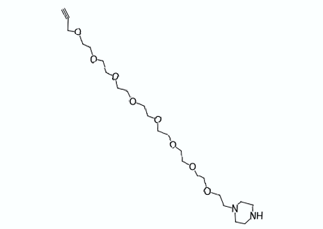 C#CCOCCOCCOCCOCCOCCOCCOCCOCCN1CCNCC1